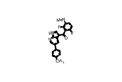 CNc1ccc(F)c(C(=O)c2c[nH]c3ncc(-c4ccc(C)cc4)cc23)c1F